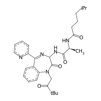 CC(C)CCCC(=O)N[C@@H](C)C(=O)NC1N=C(c2ccccn2)c2ccccc2N(CC(=O)C(C)(C)C)C1=O